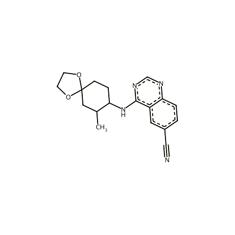 CC1CC2(CCC1Nc1ncnc3ccc(C#N)cc13)OCCO2